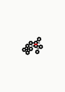 C1=CC2Sc3ccc(-c4ccccc4N(c4ccc5c6ccccc6n(-c6ccccc6)c5c4)C4C=CC5=C(C4)C4(c6ccccc65)c5ccccc5-c5ccccc54)cc3C2C=C1